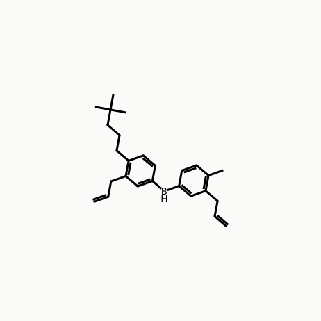 C=CCc1cc(Bc2ccc(CCCC(C)(C)C)c(CC=C)c2)ccc1C